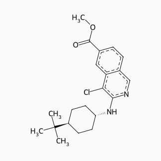 COC(=O)c1ccc2cnc(N[C@H]3CC[C@H](C(C)(C)C)CC3)c(Cl)c2c1